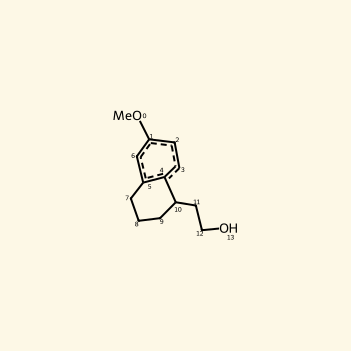 COc1ccc2c(c1)CCCC2CCO